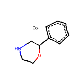 [Co].c1ccc(C2CNCCO2)cc1